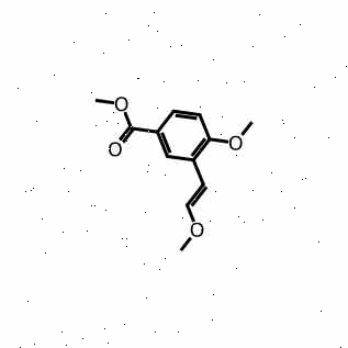 CO/C=C/c1cc(C(=O)OC)ccc1OC